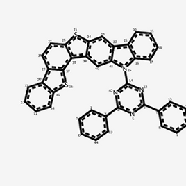 c1ccc(-c2nc(-c3ccccc3)nc(-n3c4ccccc4c4cc5sc6ccc7c8ccccc8sc7c6c5cc43)n2)cc1